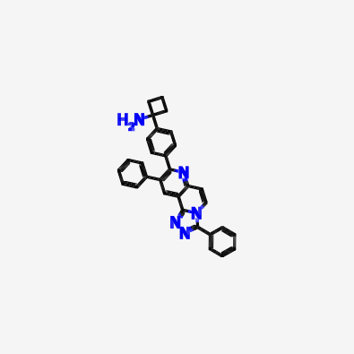 NC1(c2ccc(-c3nc4ccn5c(-c6ccccc6)nnc5c4cc3-c3ccccc3)cc2)CCC1